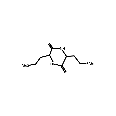 C=C1NC(CCSC)C(=C)NC1CCSC